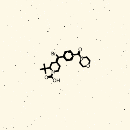 CC(C)(C)C1CC(=C(Br)c2ccc(C(=O)N3CCOCC3)cc2)CCN1C(=O)O